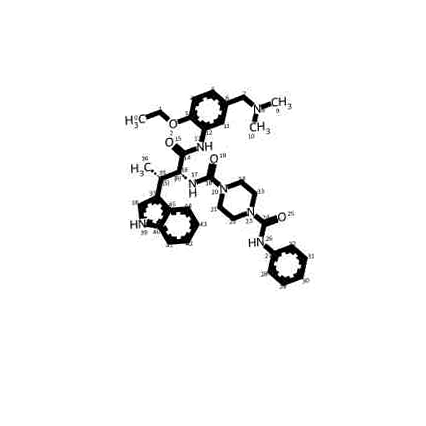 CCOc1ccc(CN(C)C)cc1NC(=O)[C@H](NC(=O)N1CCN(C(=O)Nc2ccccc2)CC1)[C@@H](C)c1c[nH]c2ccccc12